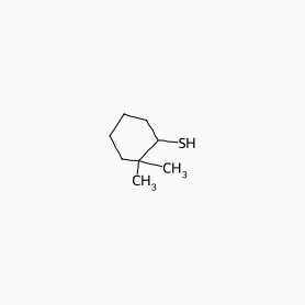 CC1(C)CCCCC1S